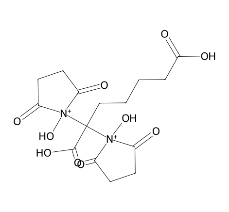 O=C(O)CCCCC(C(=O)O)([N+]1(O)C(=O)CCC1=O)[N+]1(O)C(=O)CCC1=O